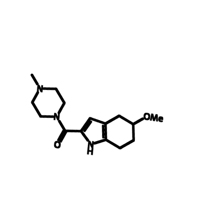 COC1CCc2[nH]c(C(=O)N3CCN(C)CC3)cc2C1